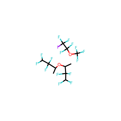 CC(OC(C)C(F)(F)C(F)F)C(F)(F)C(F)F.FC(F)(F)OC(F)(F)C(F)(F)I